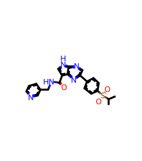 CC(C)S(=O)(=O)c1ccc(-c2cnc3[nH]cc(C(=O)NCc4cccnc4)c3n2)cc1